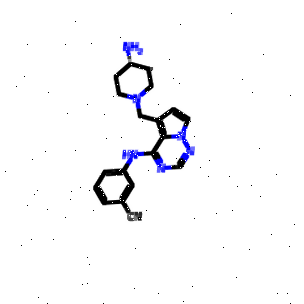 N#Cc1cccc(Nc2ncnn3ccc(CN4C[CH][C@@H](N)CC4)c23)c1